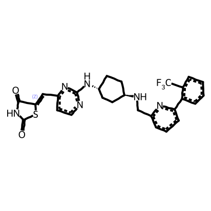 O=C1NC(=O)/C(=C/c2ccnc(N[C@H]3CC[C@H](NCc4cccc(-c5ccccc5C(F)(F)F)n4)CC3)n2)S1